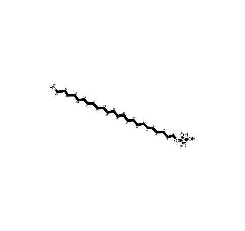 O=P(O)(O)OCCCCCCCCCCCCCCCCCCCCCCCCS